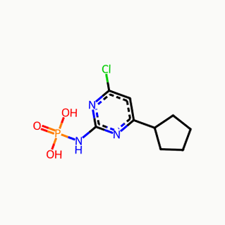 O=P(O)(O)Nc1nc(Cl)cc(C2CCCC2)n1